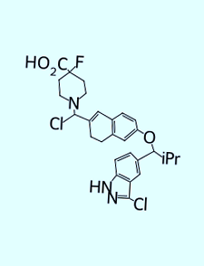 CC(C)C(Oc1ccc2c(c1)CCC(C(Cl)N1CCC(F)(C(=O)O)CC1)=C2)c1ccc2[nH]nc(Cl)c2c1